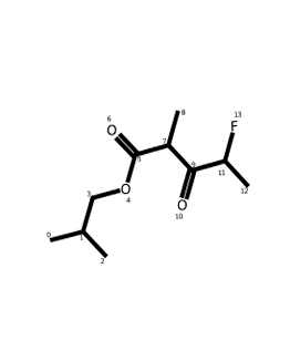 CC(C)COC(=O)C(C)C(=O)C(C)F